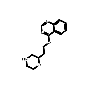 c1ccc2c(OCCC3CNCCO3)ncnc2c1